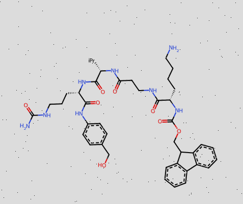 CC(C)[C@H](NC(=O)CCNC(=O)[C@H](CCCCN)NC(=O)OCC1c2ccccc2-c2ccccc21)C(=O)N[C@@H](CCCNC(N)=O)C(=O)Nc1ccc(CO)cc1